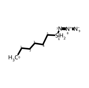 CCCCCC[SiH2]N=[N+]=[N-]